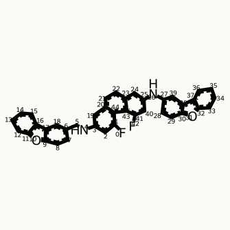 Fc1cc(NCc2ccc3oc4ccccc4c3c2)cc2ccc3cc(Nc4ccc5oc6ccccc6c5c4)cc(F)c3c12